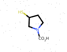 O=C(O)N1CCC(S)C1